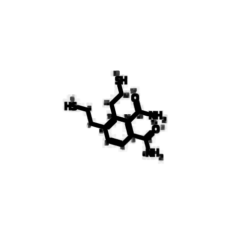 NC(=O)c1ccc(CCS)c(CCS)c1C(N)=O